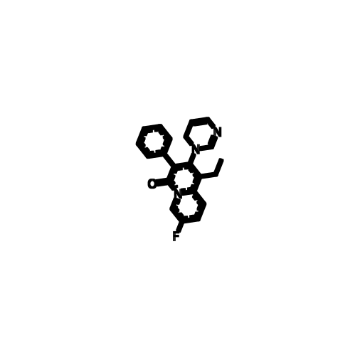 CCc1c(N2C=NC=CC2)c(-c2ccccc2)c(=O)n2cc(F)ccc12